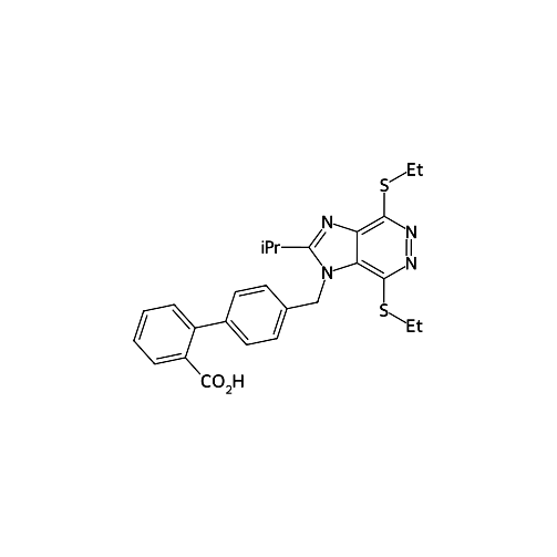 CCSc1nnc(SCC)c2c1nc(C(C)C)n2Cc1ccc(-c2ccccc2C(=O)O)cc1